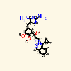 COc1cc(Cc2cnc(N)nc2N)cc(C(=O)/C=C/N2N=Cc3ccccc3C2C2CC2)c1OC